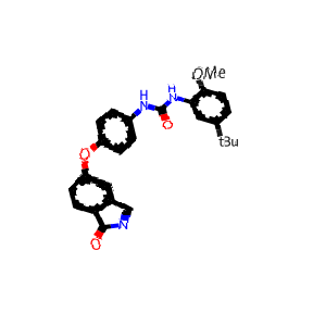 COc1ccc(C(C)(C)C)cc1NC(=O)Nc1ccc(Oc2ccc3c(c2)C=NC3=O)cc1